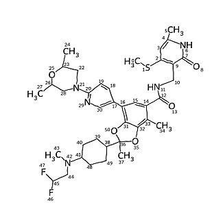 CSc1cc(C)[nH]c(=O)c1CNC(=O)c1cc(-c2ccc(N3CC(C)OC(C)C3)nc2)c2c(c1C)OC(C)(C1CCC(N(C)CC(F)F)CC1)O2